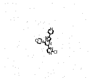 Clc1nccc(-c2cc(N3CCOCC3)n3nc(-c4ccncc4)cc3n2)n1